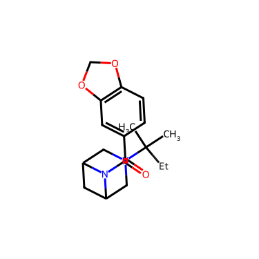 CCC(C)(C)N1CC2CC(C1)N2C(=O)c1ccc2c(c1)OCO2